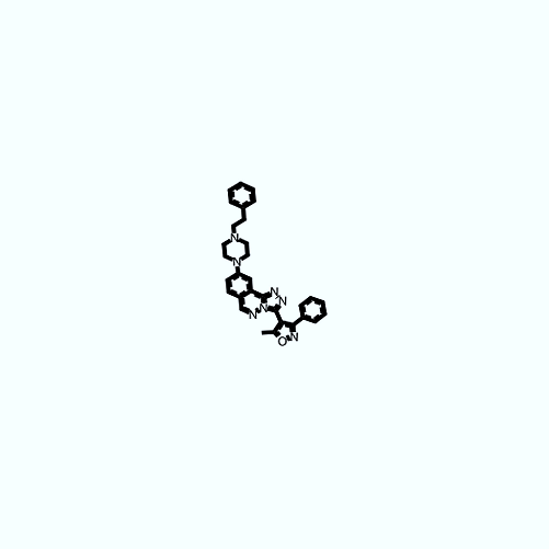 Cc1onc(-c2ccccc2)c1-c1nnc2c3cc(N4CCN(CCc5ccccc5)CC4)ccc3cnn12